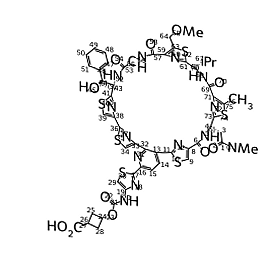 CNC(=O)C[C@@H]1NC(=O)c2csc(n2)-c2ccc(-c3nc(NC(=O)O[C@H]4C[C@H](C(=O)O)C4)cs3)nc2-c2csc(n2)-c2csc(n2)[C@H]([C@@H](O)c2ccccc2)NC(=O)CNC(=O)c2nc(sc2COC)[C@H](C(C)C)NC(=O)c2nc1sc2C